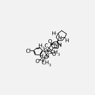 CC(C)(Oc1ccc(Cl)cc1S(C)(=O)=O)C(=O)N[C@H]1C[C@H]2CC[C@@H](C1)N2c1ccc(S(N)(=O)=O)cn1